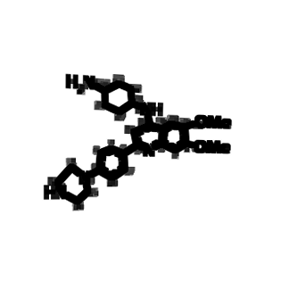 COc1cc2nc(-c3ccc(N4CCNCC4)cc3)cc(NC3CCC(N)CC3)c2cc1OC